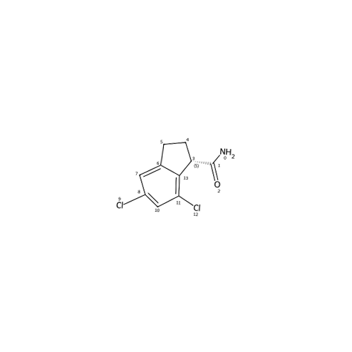 NC(=O)[C@H]1CCc2cc(Cl)cc(Cl)c21